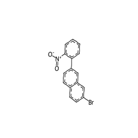 O=[N+]([O-])c1ccccc1-c1ccc2ccc(Br)cc2c1